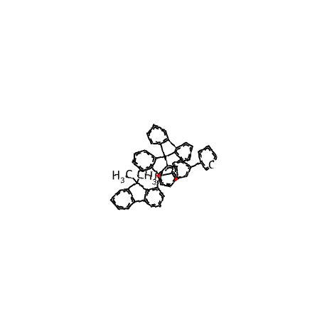 CC1(C)c2ccccc2-c2cccc(N(c3ccc(-c4ccccc4)cc3)c3ccccc3C3(c4ccccc4)c4ccccc4-c4ccccc43)c21